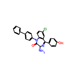 NC1N=C(c2ccc(O)cc2)c2cc(Cl)ccc2N(c2ccc(-c3ccccc3)cc2)C1=O